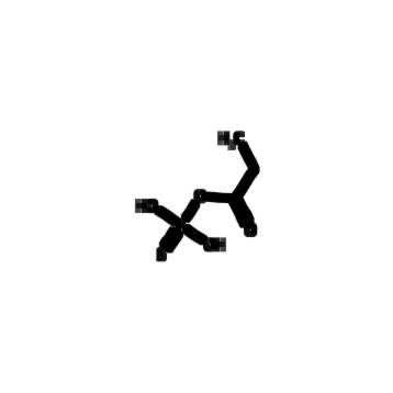 CCC(=O)OP(O)(O)=S